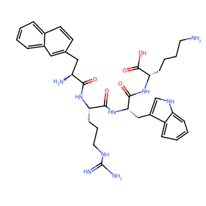 N=C(N)NCCC[C@H](NC(=O)[C@@H](N)Cc1ccc2ccccc2c1)C(=O)N[C@@H](Cc1c[nH]c2ccccc12)C(=O)N[C@@H](CCCCN)C(=O)O